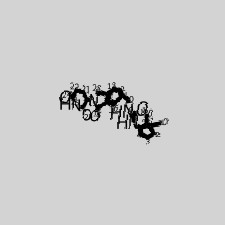 Cc1cccc(NC(=O)NCc2ccc3c(c2)C(=O)N(C2CCC(=O)NC2=O)C3)c1C